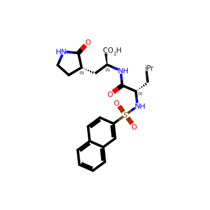 CC(C)C[C@H](NS(=O)(=O)c1ccc2ccccc2c1)C(=O)N[C@@H](C[C@@H]1CCNC1=O)C(=O)O